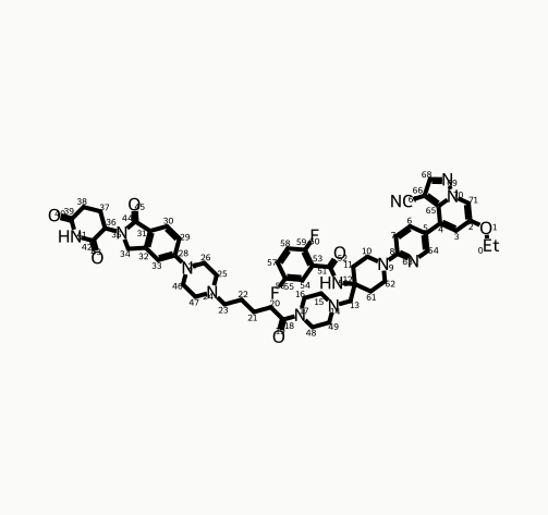 CCOc1cc(-c2ccc(N3CCC(CN4CCN(C(=O)CCCCN5CCN(c6ccc7c(c6)CN(C6CCC(=O)NC6=O)C7=O)CC5)CC4)(NC(=O)c4cc(F)ccc4F)CC3)nc2)c2c(C#N)cnn2c1